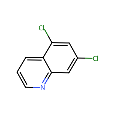 Clc1cc(Cl)c2cccnc2c1